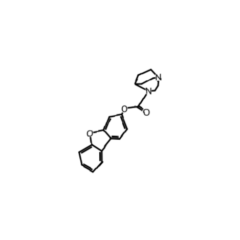 O=C(Oc1ccc2c(c1)oc1ccccc12)N1CCN2CCC1CC2